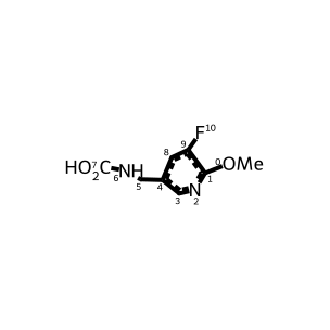 COc1ncc(CNC(=O)O)cc1F